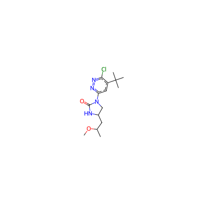 COC(C)CC1CN(c2cc(C(C)(C)C)c(Cl)nn2)C(=O)N1